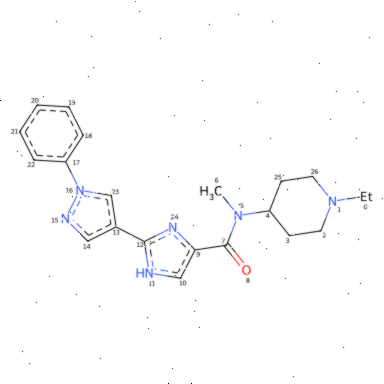 CCN1CCC(N(C)C(=O)c2c[nH]c(-c3cnn(-c4ccccc4)c3)n2)CC1